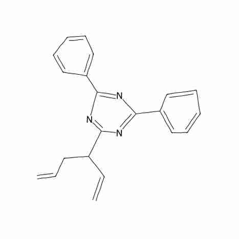 C=CCC(C=C)c1nc(-c2ccccc2)nc(-c2ccccc2)n1